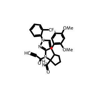 C#CC(=O)N(c1ccn(-c2ccccc2C(F)(F)F)n1)C1(C(N)=O)CCCC1Cc1ccc(OC)cc1OC